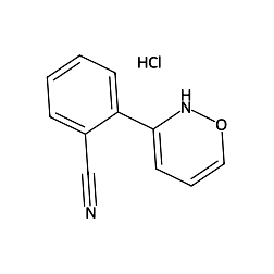 Cl.N#Cc1ccccc1C1=CC=CON1